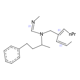 C/C=C\C(=C/CCC)CN(/C=N\C)C(C)CCc1ccccc1